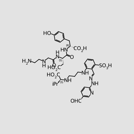 CC(C)[C@H](NCCCNc1cccc(S(=O)(=O)O)c1C=NNc1ccc(C=O)cn1)C(=O)O.NCCNCC(=O)N[C@@H](CC(=O)O)C(=O)N[C@H](Cc1ccc(O)cc1)C(=O)O